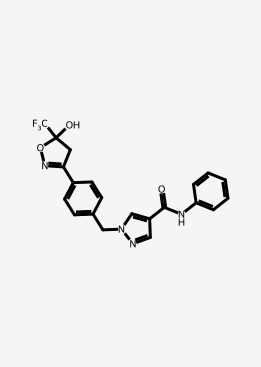 O=C(Nc1ccccc1)c1cnn(Cc2ccc(C3=NOC(O)(C(F)(F)F)C3)cc2)c1